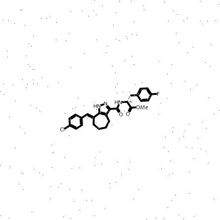 COC(=O)[C@@H](Cc1ccc(F)cc1)NC(=O)c1n[nH]c2c1CCCCC2=Cc1ccc(Cl)cc1